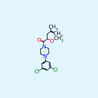 C=C(C)CC(OC)C(=O)N1CCN(c2cc(Cl)cc(Cl)c2)CC1